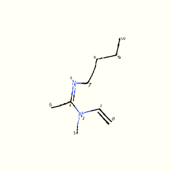 C=CN(C)/C(C)=N\CCCC